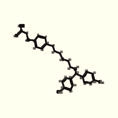 O=C(O)COc1ccc(CCCSCCOC(c2ccc(Cl)cc2)c2ccc(Cl)cc2)cc1